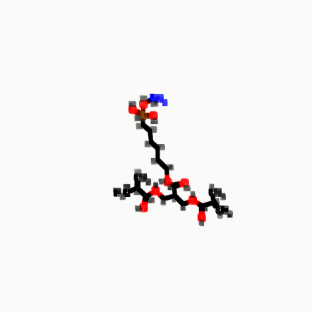 C=C(C)C(=O)OCC(COC(=O)C(=C)C)C(=O)OCCCCCCS(=O)(=O)ON